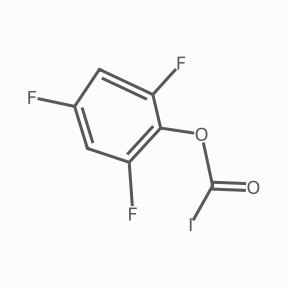 O=C(I)Oc1c(F)cc(F)cc1F